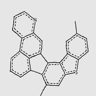 Cc1ccc2sc3cc(C)c4c(c3c2c1)-c1cc2ncccc2c2cccc-4c12